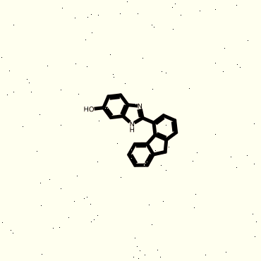 Oc1ccc2nc(-c3cccc4c3-c3ccccc3C4)[nH]c2c1